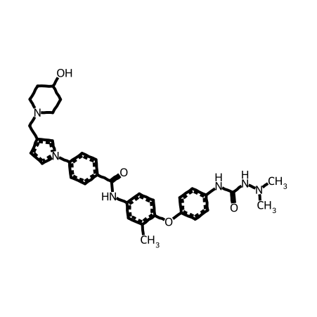 Cc1cc(NC(=O)c2ccc(-n3ccc(CN4CCC(O)CC4)c3)cc2)ccc1Oc1ccc(NC(=O)NN(C)C)cc1